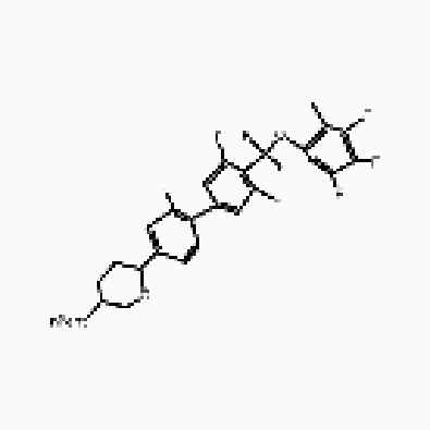 CCCCCC1CCC(c2ccc(-c3cc(F)c(C(F)(F)Oc4cc(F)c(F)c(F)c4C)c(F)c3)c(F)c2)OC1